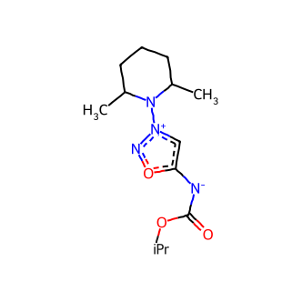 CC(C)OC(=O)[N-]c1c[n+](N2C(C)CCCC2C)no1